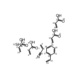 C=CC#N.C=CC(=O)O.C=CC(=O)O.C=CC(=O)O.C=CC(=O)O.C=Cc1ccccc1.[SiH4]